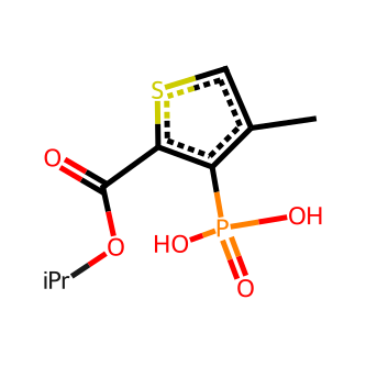 Cc1csc(C(=O)OC(C)C)c1P(=O)(O)O